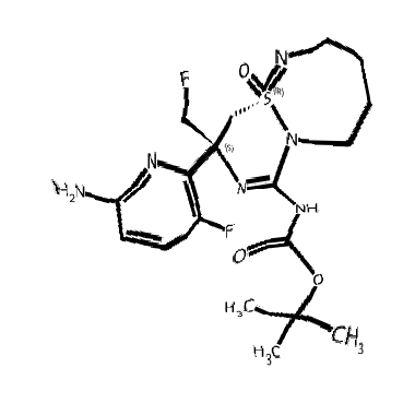 CC(C)(C)OC(=O)NC1=N[C@](CF)(c2nc(N)ccc2F)C[S@]2(=O)=NCCCCN12